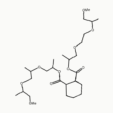 COCC(C)OCCOCC(C)OC(=O)C1CCCCC1C(=O)OC(C)COC(C)COC(C)COC